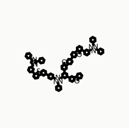 c1ccc(-c2cc(-c3cccc(-c4cccc5c4sc4ccc(-c6ccc(-c7nc(-c8ccccc8)nc(-c8cc(-c9ccc%10oc%11ccccc%11c%10c9)cc(-c9ccc%10oc%11cc(-c%12ccc%13c(c%12)oc%12c(-c%14cccc(-c%15nc(-c%16ccccc%16)nc(-c%16ccccc%16)n%15)c%14)cccc%12%13)ccc%11c%10c9)c8)n7)cc6)cc45)c3)nc(-c3ccccc3)n2)cc1